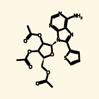 CC(=O)OC[C@H]1O[C@@H](n2c(-c3cccs3)nc3c(N)ncnc32)C(OC(C)=O)C1OC(C)=O